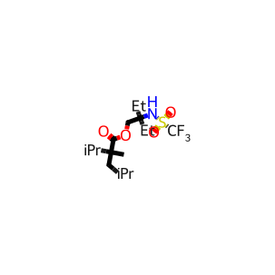 CCC(CC)(COC(=O)C(C)(CC(C)C)C(C)C)NS(=O)(=O)C(F)(F)F